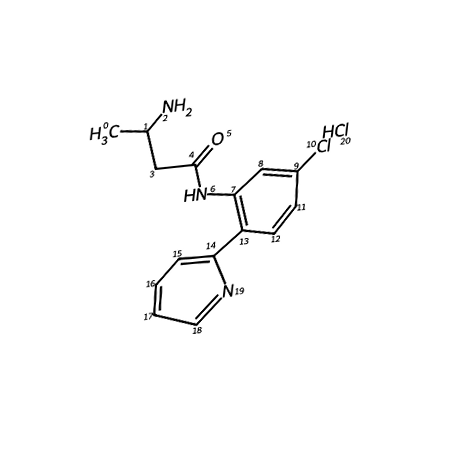 CC(N)CC(=O)Nc1cc(Cl)ccc1-c1ccccn1.Cl